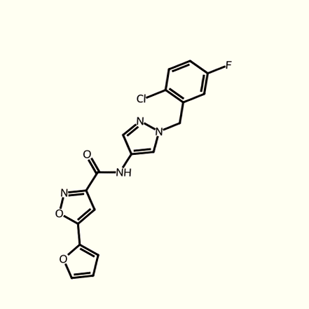 O=C(Nc1cnn(Cc2cc(F)ccc2Cl)c1)c1cc(-c2ccco2)on1